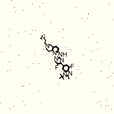 Cc1nc2c(F)cc(-c3nc(Nc4ccc5c(n4)C[C@H](C)N(CCN(C)C)C5)ncc3F)cc2n1C(C)(C)C